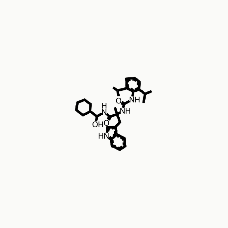 CC(C)c1cccc(C(C)C)c1NC(=O)NC(C)(Cc1c[nH]c2ccccc12)C(=O)NC(O)C1CCCCC1